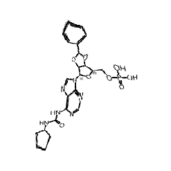 O=C(Nc1ncnc2c1ncn2[C@@H]1O[C@H](COP(=O)(O)O)C2OC(c3ccccc3)OC21)NC1CCCC1